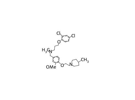 COc1cc(CN(C)CCCOc2ccc(Cl)cc2Cl)ccc1OCCN1CCC(C)CC1